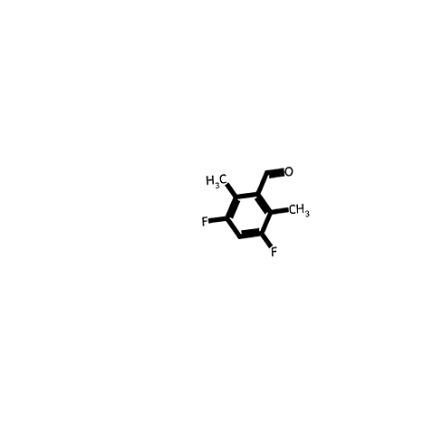 Cc1c(F)cc(F)c(C)c1C=O